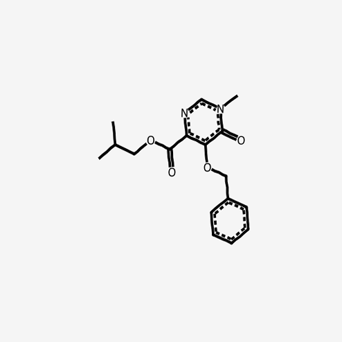 CC(C)COC(=O)c1ncn(C)c(=O)c1OCc1ccccc1